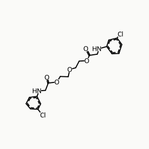 O=C(CNc1cccc(Cl)c1)OCCOCCOC(=O)CNc1cccc(Cl)c1